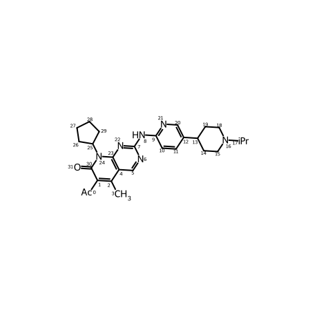 CC(=O)c1c(C)c2cnc(Nc3ccc(C4CCN(C(C)C)CC4)cn3)nc2n(C2CCCC2)c1=O